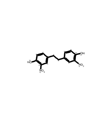 O=[N+]([O-])c1cc(CCc2ccc(O)c([N+](=O)[O-])c2)ccc1O